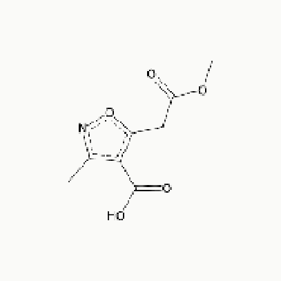 COC(=O)Cc1onc(C)c1C(=O)O